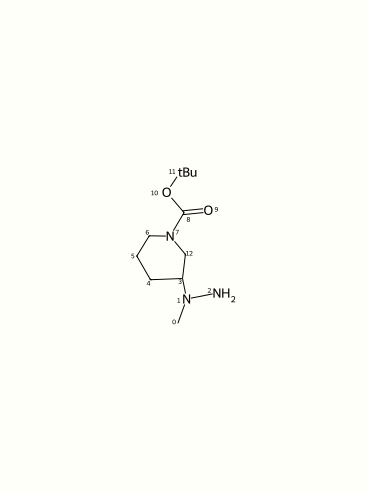 CN(N)C1CCCN(C(=O)OC(C)(C)C)C1